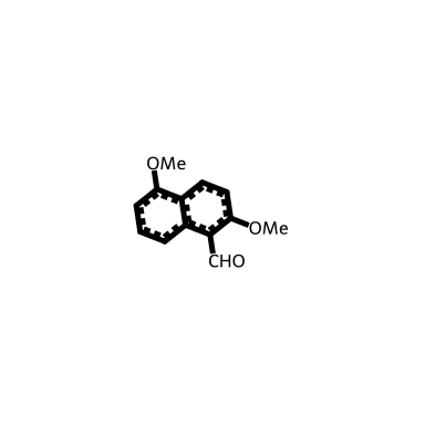 COc1ccc2c(OC)cccc2c1C=O